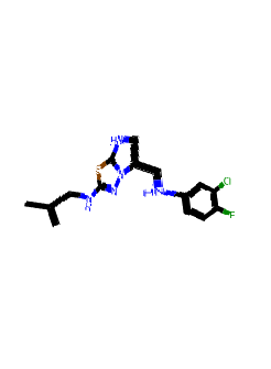 CC(C)CNC1=NN2C(CNc3ccc(F)c(Cl)c3)=CNC2S1